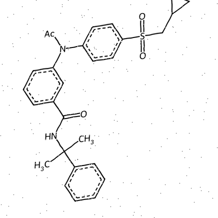 CC(=O)N(c1ccc(S(=O)(=O)CC2CC2)cc1)c1cccc(C(=O)NC(C)(C)c2ccccc2)c1